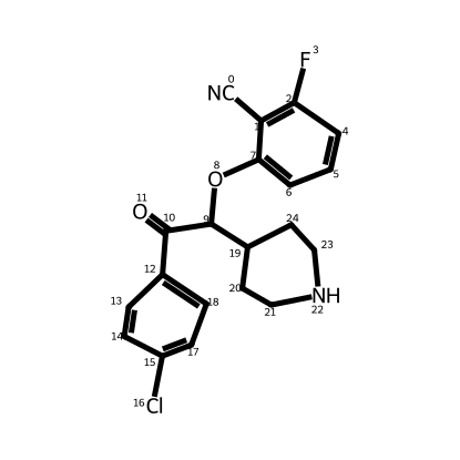 N#Cc1c(F)cccc1OC(C(=O)c1ccc(Cl)cc1)C1CCNCC1